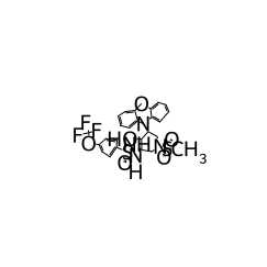 CS(=O)(=O)N1CC(NS(=N)(=O)c2ccc(OC(F)(F)F)cc2)C(O)C(N2c3ccccc3Oc3ccccc32)C1